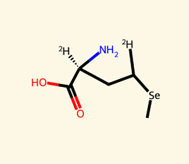 [2H]C(C[C@]([2H])(N)C(=O)O)[Se]C